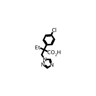 CCC(Cn1cncn1)(C(=O)O)c1ccc(Cl)cc1